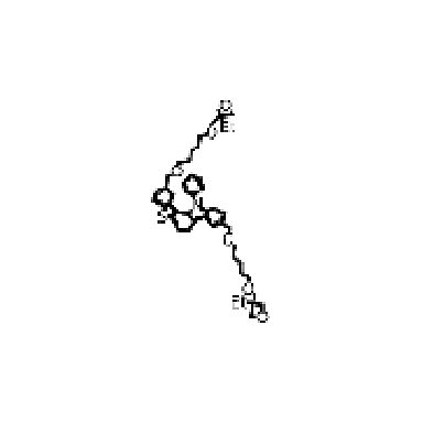 CCC1(COCCCCCOCc2ccc3sc4ccc5c6cc(COCCCCCOCC7(CC)COC7)ccc6n(-c6ccccc6)c5c4c3c2)COC1